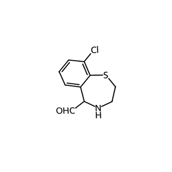 O=CC1NCCSc2c(Cl)cccc21